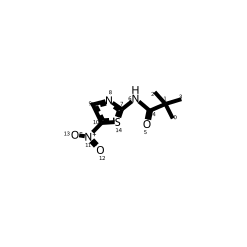 CC(C)(C)C(=O)Nc1ncc([N+](=O)[O-])s1